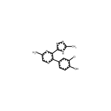 Cc1nnc(-c2nc(N)cnc2-c2ccc(O)c(Cl)c2)[nH]1